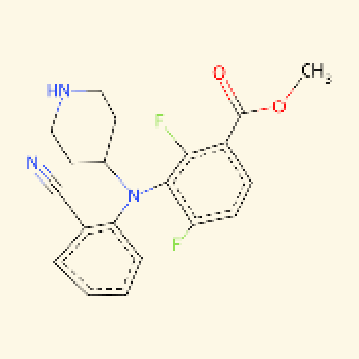 COC(=O)c1ccc(F)c(N(c2ccccc2C#N)C2CCNCC2)c1F